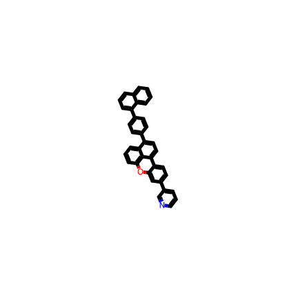 c1cncc(-c2ccc3c(c2)Oc2cccc4c(-c5ccc(-c6cccc7ccccc67)cc5)ccc-3c24)c1